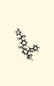 C[C@@H](Nc1nc(Nc2cccc(NC(=O)C3CCCO3)c2)ncc1C(N)=O)c1ccccc1